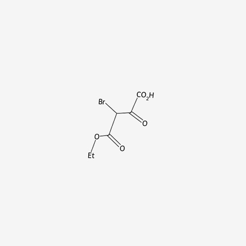 CCOC(=O)C(Br)C(=O)C(=O)O